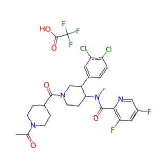 CC(=O)N1CCC(C(=O)N2CCC(N(C)C(=O)c3ncc(F)cc3F)C(c3ccc(Cl)c(Cl)c3)C2)CC1.O=C(O)C(F)(F)F